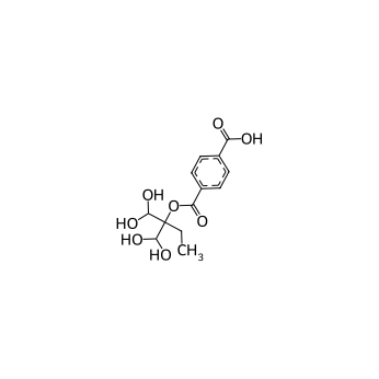 CCC(OC(=O)c1ccc(C(=O)O)cc1)(C(O)O)C(O)O